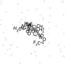 Cc1nn(C)cc1S(=O)(=O)NC(=O)c1ccc(-n2ccc(O[C@@H]3C[C@H]3C(F)(F)F)n2)nc1N1C[Si@@H](C)CC1(C)C